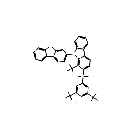 CC(C)(C)c1cc(C(C)(C)C)cc([Si](C)(C)c2ccc3c4ccccc4n(-c4ccc5c(c4)sc4ccccc45)c3c2C(C)(C)C)c1